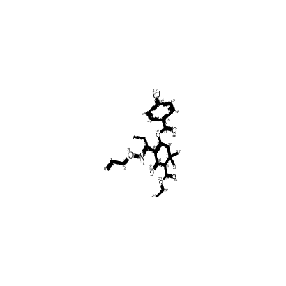 C=CCON=C(CC)C1=C(OC(=O)c2ccc(Cl)cc2)CC(C)(C)C(C(=O)OCC)C1=O